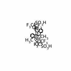 Cc1cccc(CCC(C)c2cccc(C(C)C)c2NCC(=O)OC(CS(=O)(=O)O)(C(F)(F)F)C(F)(F)F)c1NCC(=O)OC(CS(=O)(=O)O)(C(F)(F)F)C(F)(F)F